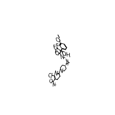 CCOc1cccc([C@@](O)(C(=O)N(C)C[C@@H]2C[C@@H]2C2CCN(C3=NC(Cl)=C(C(=O)N(C)C)CC3)CC2)C(F)(F)F)c1